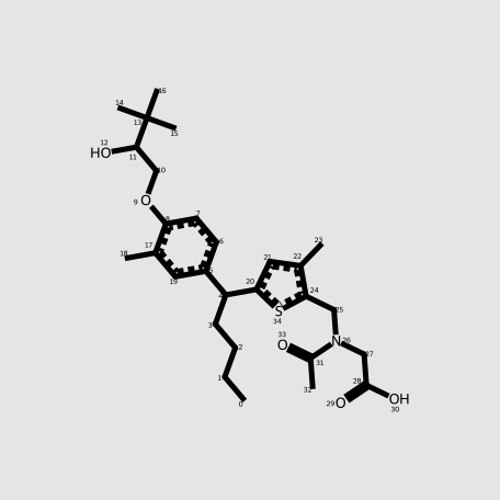 CCCCC(c1ccc(OCC(O)C(C)(C)C)c(C)c1)c1cc(C)c(CN(CC(=O)O)C(C)=O)s1